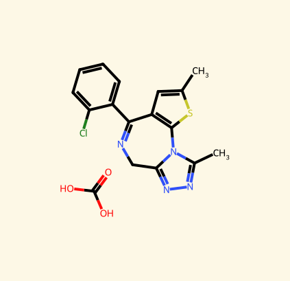 Cc1cc2c(s1)-n1c(C)nnc1CN=C2c1ccccc1Cl.O=C(O)O